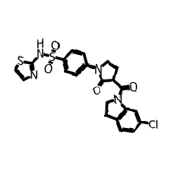 O=C1C(C(=O)N2CCc3ccc(Cl)cc32)CCN1c1ccc(S(=O)(=O)Nc2nccs2)cc1